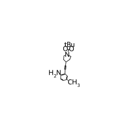 Cc1ccc(N)c(C#CC2CCN(C(=O)OC(C)(C)C)CC2)c1